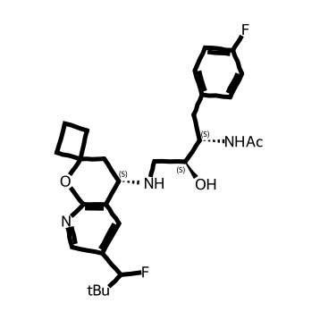 CC(=O)N[C@@H](Cc1ccc(F)cc1)[C@@H](O)CN[C@H]1CC2(CCC2)Oc2ncc(C(F)C(C)(C)C)cc21